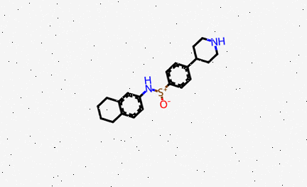 [O-][S+](Nc1ccc2c(c1)CCCC2)c1ccc(C2CCNCC2)cc1